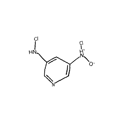 [O-][NH+](Cl)c1cncc(NCl)c1